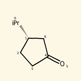 CC(C)[C@H]1CCC(=O)C1